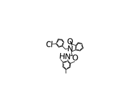 Cc1cc(C)c(NC(=O)C2c3ccccc3C(=O)N2Cc2cccc(Cl)c2)c(C)c1